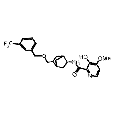 COc1ccnc(C(=O)NC2CC3CC2C[C@@H]3COCc2cccc(C(F)(F)F)c2)c1O